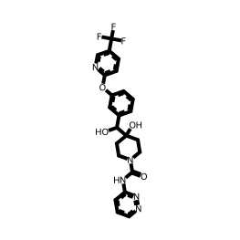 O=C(Nc1cccnn1)N1CCC(O)(C(O)c2cccc(Oc3ccc(C(F)(F)F)cn3)c2)CC1